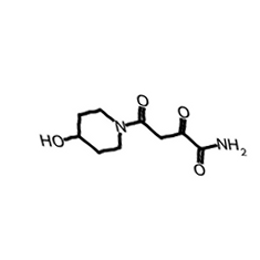 NC(=O)C(=O)CC(=O)N1CCC(O)CC1